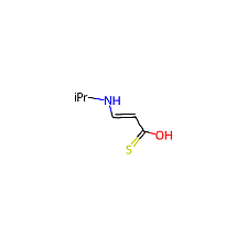 CC(C)NC=CC(O)=S